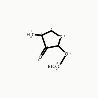 CCOC(=O)OC1SCC(C)C1=O